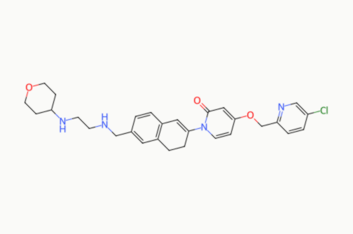 O=c1cc(OCc2ccc(Cl)cn2)ccn1C1=Cc2ccc(CNCCNC3CCOCC3)cc2CC1